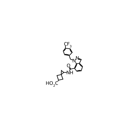 O=C(NC1CC12CC(C(=O)O)C2)c1cccc2cnn(Cc3ccc(C(F)(F)F)cc3)c12